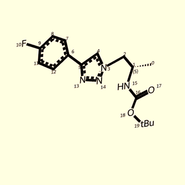 C[C@@H](Cn1cc(-c2ccc(F)cc2)nn1)NC(=O)OC(C)(C)C